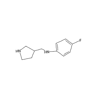 Fc1ccc(NCC2CCNC2)cc1